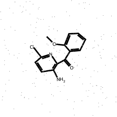 COc1ccccc1C(=O)c1nc(Cl)ccc1N